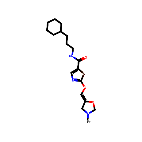 CC(C)N1COC(=COc2ncc(C(=O)NCCCC3CCCCC3)s2)C1